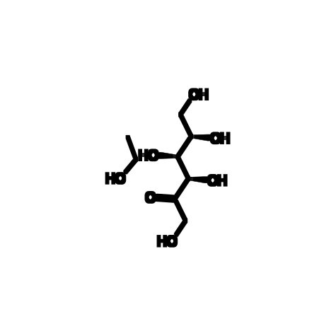 CCO.O=C(CO)[C@H](O)[C@@H](O)[C@H](O)CO